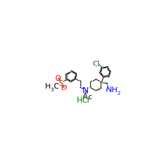 CC(=O)N(CCc1cccc(S(C)(=O)=O)c1)[C@H]1CC[C@@](CN)(c2cccc(Cl)c2)CC1.Cl